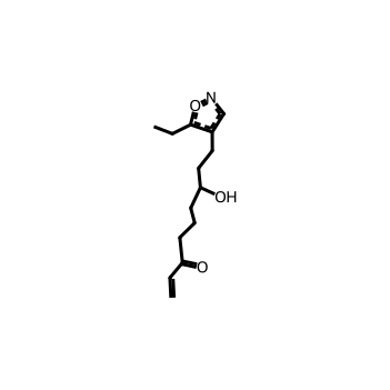 C=CC(=O)CCCC(O)CCc1cnoc1CC